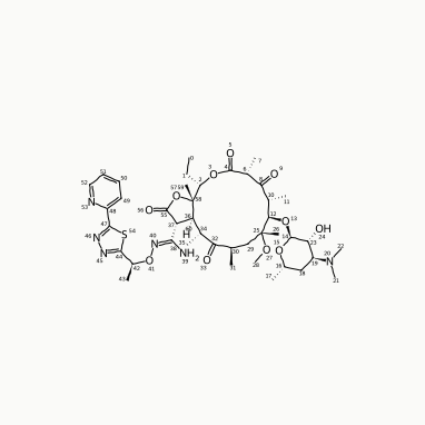 CC[C@@H]1OC(=O)[C@H](C)C(=O)[C@H](C)[C@@H](O[C@@H]2O[C@@H](C)C[C@H](N(C)C)[C@H]2O)[C@](C)(OC)C[C@@H](C)C(=O)[C@H](C)[C@H]2[C@H](/C(N)=N/O[C@@H](C)c3nnc(-c4ccccn4)s3)C(=O)O[C@@]21C